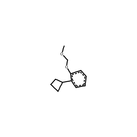 COCOc1ccccc1C1CCC1